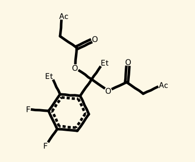 CCc1c(C(CC)(OC(=O)CC(C)=O)OC(=O)CC(C)=O)ccc(F)c1F